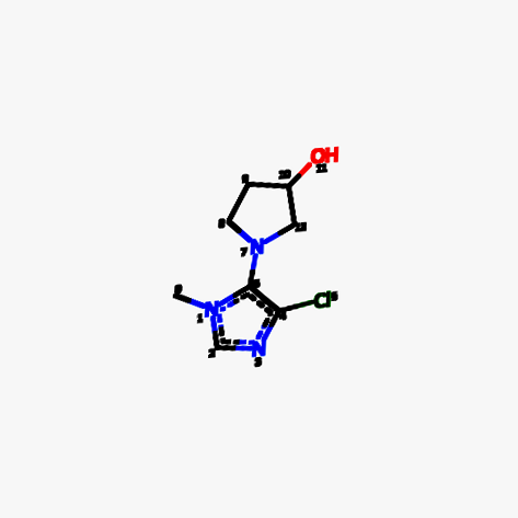 Cn1cnc(Cl)c1N1CCC(O)C1